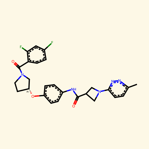 Cc1ccc(N2CC(C(=O)Nc3ccc(O[C@@H]4CCN(C(=O)c5ccc(F)cc5F)C4)cc3)C2)nn1